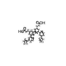 O=C(O)/C=C/c1cc(-c2cc(-c3cccs3)ccn2)nc(-c2cc(/C=C/C(=O)O)cc(-c3cc(-c4cccs4)ccn3)n2)c1